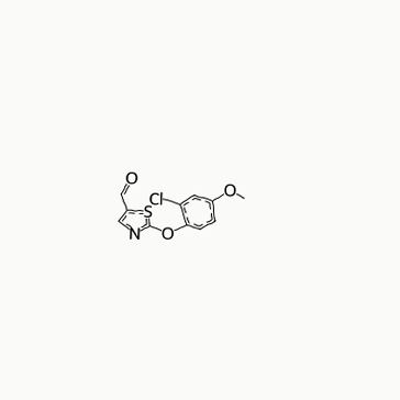 COc1ccc(Oc2ncc(C=O)s2)c(Cl)c1